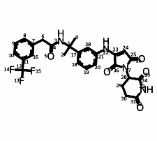 CC(C)(NC(=O)Cc1cccc(C(F)(F)F)c1)c1cccc(NC2=CC(=O)N(C3CCC(=O)NC3=O)C2=O)c1